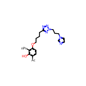 CCCc1c(OCCCCc2nnn(CCCn3ccnc3)n2)ccc(C(C)=O)c1O